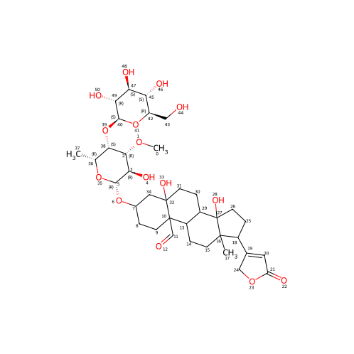 CO[C@@H]1[C@@H](O)[C@H](OC2CCC3(C=O)C4CCC5(C)C(C6=CC(=O)OC6)CCC5(O)C4CCC3(O)C2)O[C@H](C)[C@@H]1O[C@@H]1O[C@H](CO)[C@@H](O)[C@H](O)[C@H]1O